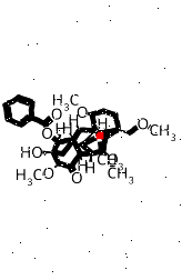 COC[C@@]12CC[C@H](OC)[C@]34C([C@H]([C@H](OC)[C@H]13)[C@H]1C(=O)[C@H](OC)[C@@]3(O)C[C@@H]4[C@@H]1[C@H]3OC(=O)c1ccccc1)N(C)C2